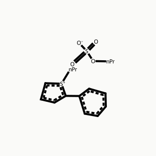 CCCOS(=O)(=O)[O-].CCC[s+]1cccc1-c1ccccc1